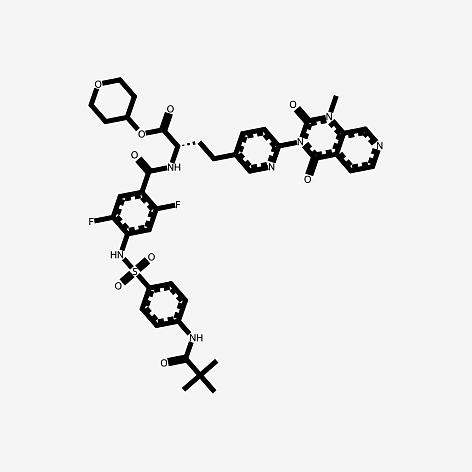 Cn1c(=O)n(-c2ccc(CC[C@H](NC(=O)c3cc(F)c(NS(=O)(=O)c4ccc(NC(=O)C(C)(C)C)cc4)cc3F)C(=O)OC3CCOCC3)cn2)c(=O)c2ccncc21